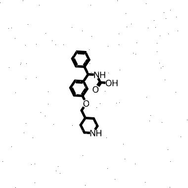 O=C(O)NC(c1ccccc1)c1cccc(OCC2CCNCC2)c1